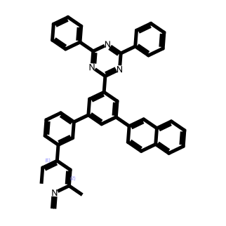 C=N/C(C)=C\C(=C/C)c1cccc(-c2cc(-c3ccc4ccccc4c3)cc(-c3nc(-c4ccccc4)nc(-c4ccccc4)n3)c2)c1